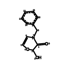 O=C1C(O)OC=CN1Cc1ccccc1